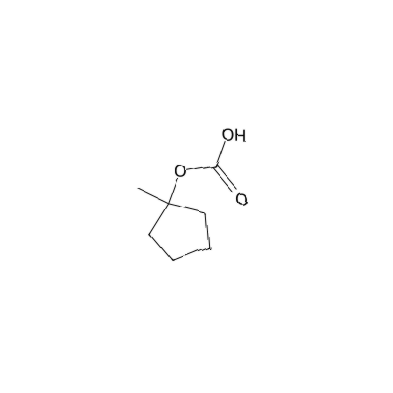 CC1(OC(=O)O)CCCC1